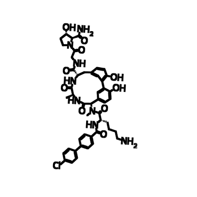 C[C@@H]1NC(=O)[C@@H](N(C)C(=O)[C@H](CCCCN)NC(=O)c2ccc(-c3ccc(Cl)cc3)cc2)c2ccc(O)c(c2)-c2cc(ccc2O)C[C@@H](C(=O)NCC(=O)N2CC[C@H](O)[C@H]2C(N)=O)NC1=O